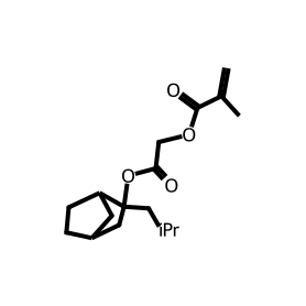 C=C(C)C(=O)OCC(=O)OC1(CC(C)C)CC2CCC1C2